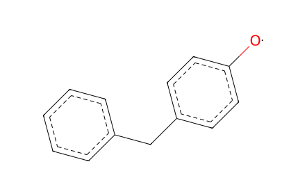 [O]c1ccc(Cc2ccccc2)cc1